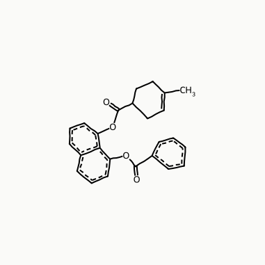 CC1=CCC(C(=O)Oc2cccc3cccc(OC(=O)c4ccccc4)c23)CC1